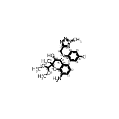 COC(OC)C1(C)Oc2c(N)cccc2[C@@H](N(Cc2nnn(C)n2)c2ccc(Cl)cc2)[C@@H]1O